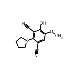 COc1cc(C#N)c(N2CCCC2)c(C#N)c1O